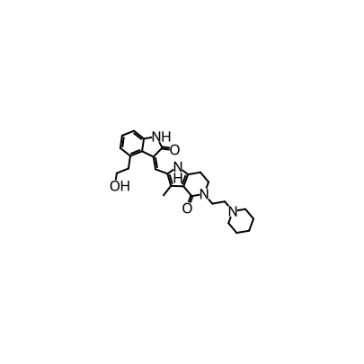 Cc1c(C=C2C(=O)Nc3cccc(CCO)c32)[nH]c2c1C(=O)N(CCN1CCCCC1)CC2